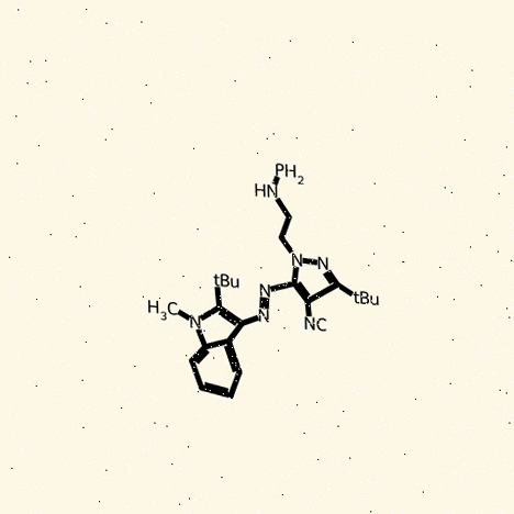 [C-]#[N+]c1c(C(C)(C)C)nn(CCNP)c1/N=N/c1c(C(C)(C)C)n(C)c2ccccc12